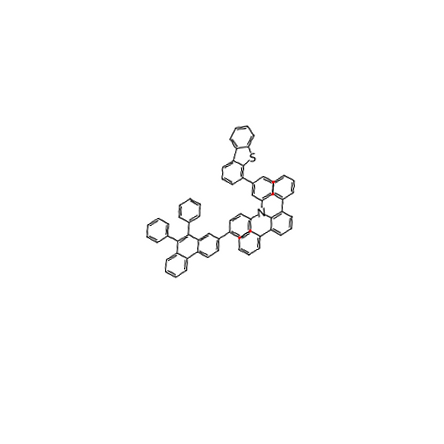 c1ccc(-c2cccc(-c3ccccc3)c2N(c2ccc(-c3ccc4c(c3)c(-c3ccccc3)c(-c3ccccc3)c3ccccc34)cc2)c2cccc(-c3cccc4c3sc3ccccc34)c2)cc1